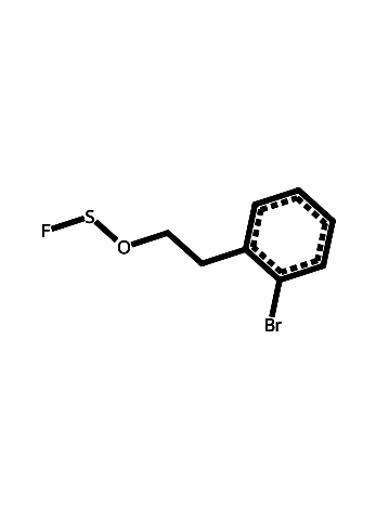 FSOCCc1ccccc1Br